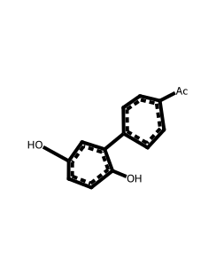 CC(=O)c1ccc(-c2cc(O)ccc2O)cc1